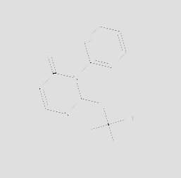 CC(C)(C)Sc1nccc(=O)n1-c1ccccc1